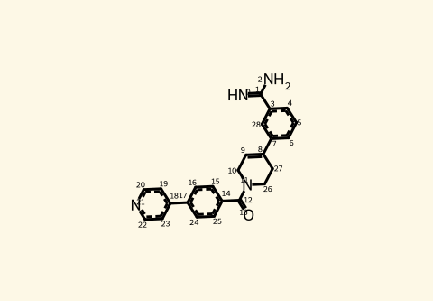 N=C(N)c1cccc(C2=CCN(C(=O)c3ccc(-c4ccncc4)cc3)CC2)c1